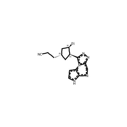 CC[C@@H]1C[C@@H](CCC#N)C[C@@H]1c1nnc2cnc3[nH]ccc3n12